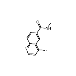 [CH2]c1ccnc2ccc(C(=O)NC)cc12